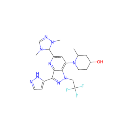 CC1CC(O)CCN1c1cc(C2N(C)C=NN2C)nc2c(-c3ccn[nH]3)nn(CC(F)(F)F)c12